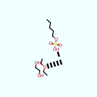 C=C.C=C.C=C.C=C.C=C.C=C.CCCCCOS(=O)(=O)O.CCOCC.OCCO